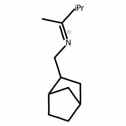 C/C(=N\CC1CC2CCC1C2)C(C)C